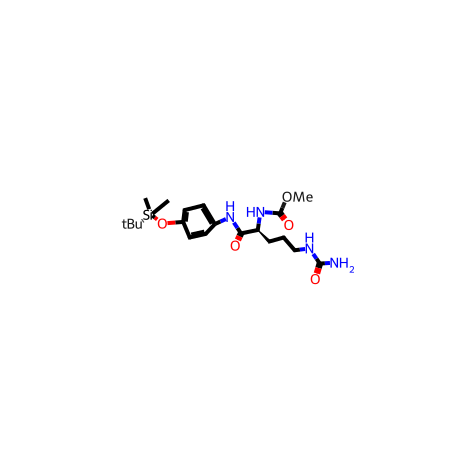 COC(=O)N[C@@H](CCCNC(N)=O)C(=O)Nc1ccc(O[Si](C)(C)C(C)(C)C)cc1